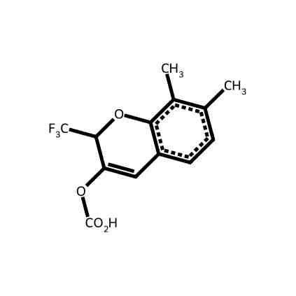 Cc1ccc2c(c1C)OC(C(F)(F)F)C(OC(=O)O)=C2